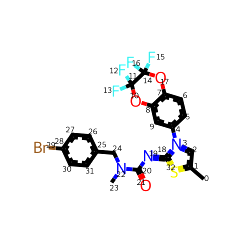 Cc1cn(-c2ccc3c(c2)OC(F)(F)C(F)(F)O3)/c(=N/C(=O)N(C)Cc2ccc(Br)cc2)s1